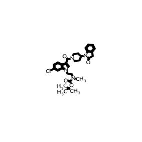 CN(CCn1cc(C(=O)N2CCC(N3C(=O)Cc4ccccc43)CC2)c2ccc(Cl)cc21)C(=O)OC(C)(C)C